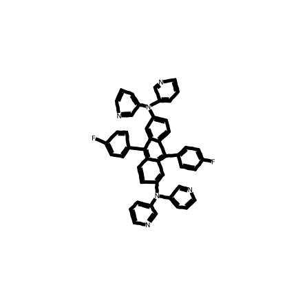 Fc1ccc(-c2c3ccc(N(c4cccnc4)c4cccnc4)cc3c(-c3ccc(F)cc3)c3ccc(N(c4cccnc4)c4cccnc4)cc23)cc1